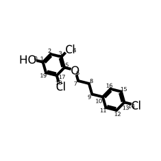 Oc1cc(Cl)c(OCCCc2ccc(Cl)cc2)c(Cl)c1